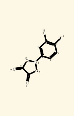 O=C1OB(c2ccc(F)c(F)c2)OC1=O